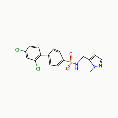 Cn1nccc1CNS(=O)(=O)c1ccc(-c2ccc(Cl)cc2Cl)cc1